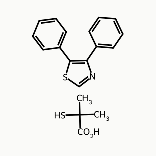 CC(C)(S)C(=O)O.c1ccc(-c2ncsc2-c2ccccc2)cc1